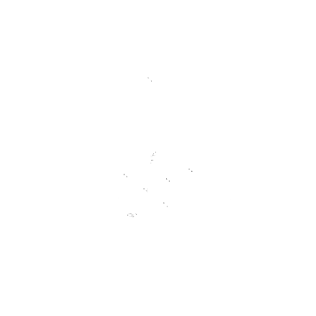 Cc1ccc2c(c1)c1cc(C)ccc1n2-c1cc(-c2cccc(C#N)c2)ccc1-c1nc(-c2ccccc2)nc(-c2ccc(C(F)(F)F)cc2-n2c3ccc(C)cc3c3cc(C)ccc32)n1